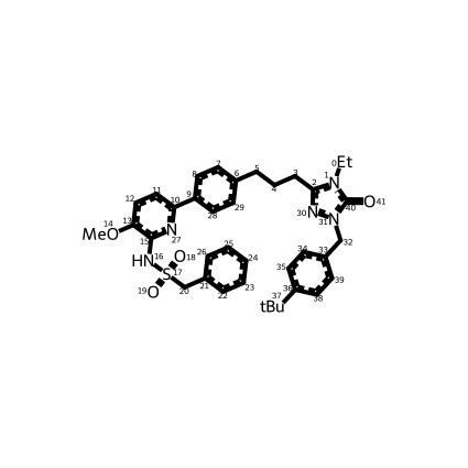 CCn1c(CCCc2ccc(-c3ccc(OC)c(NS(=O)(=O)Cc4ccccc4)n3)cc2)nn(Cc2ccc(C(C)(C)C)cc2)c1=O